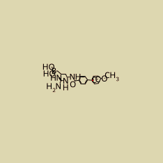 COC12CCC(c3ccc(C(=O)NC(CCCB(O)O)NC(=N)N)cc3)(CC1)CC2